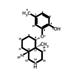 Cc1ccc(O)c(O[C@H]2CCC[C@H]3CNCC[C@@]32C)c1